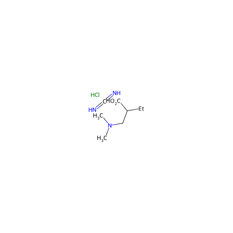 CCC(CN(C)C)C(=O)O.Cl.N=C=N